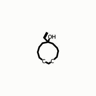 C=CC1(O)CCCCCCCCCCC1